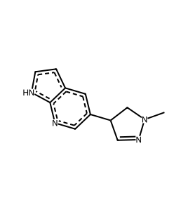 CN1CC(c2cnc3[nH]ccc3c2)C=N1